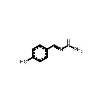 Oc1ccc(/C=N/NP)cc1